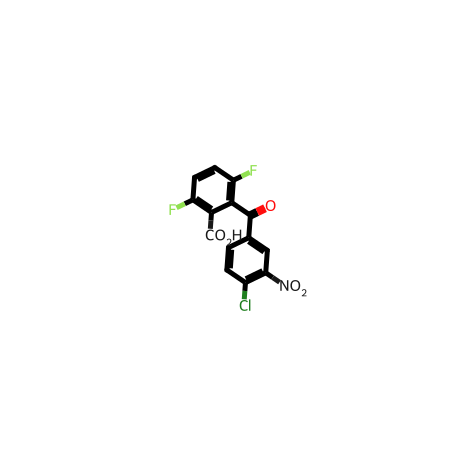 O=C(O)c1c(F)ccc(F)c1C(=O)c1ccc(Cl)c([N+](=O)[O-])c1